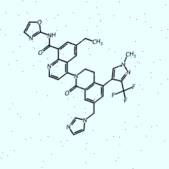 CCc1cc(C(=O)Nc2ncco2)c2nccc(N3CCc4c(cc(Cn5ccnc5)cc4-c4cn(C)nc4C(F)(F)F)C3=O)c2c1